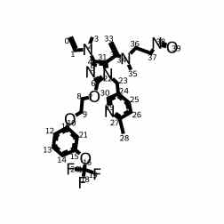 C=CN(C)c1nc(OCCOc2cccc(OC(F)(F)F)c2)n(Cc2ccc(C)nc2)c1C(=C)N(C)CCN=O